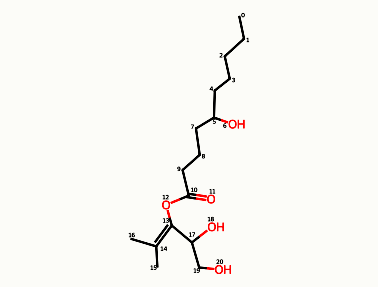 CCCCCC(O)CCCC(=O)OC(=C(C)C)C(O)CO